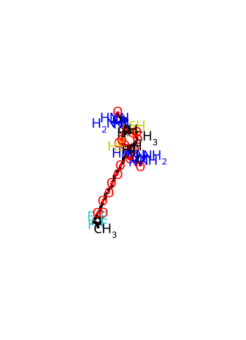 Cc1c(F)c(F)c(OC(=O)CCOCCOCCOCCOCCOCCC(=O)NC2[C@H]3OP(=O)(S)OC[C@H]4O[C@@H](n5cnc6c(=O)[nH]c(N)nc65)C(S)[C@H]4OP(C)(=O)OC[C@H]3O[C@H]2n2cnc3c(=O)[nH]c(N)nc32)c(F)c1F